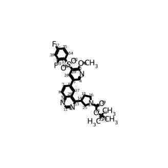 COc1ncc(-c2ccc3ncnc(C4CCN(C(=O)OC(C)(C)C)C4)c3c2)cc1S(=O)(=O)c1ccc(F)cc1F